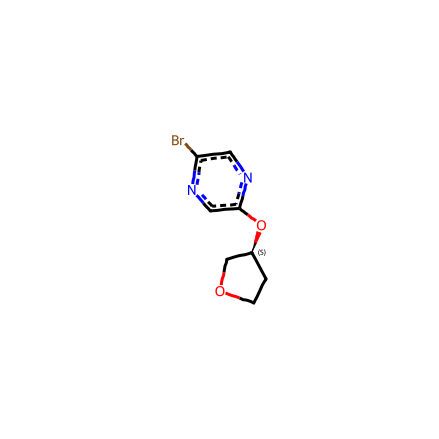 Brc1cnc(O[C@H]2CCOC2)cn1